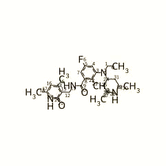 CCN(c1cc(F)cc(C(=O)NCc2c(C)cc(C)[nH]c2=O)c1C)C1C[C@@H](C)N[C@@H](C)C1